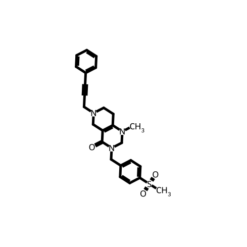 CN1CN(Cc2ccc(S(C)(=O)=O)cc2)C(=O)C2=C1CCN(CC#Cc1ccccc1)C2